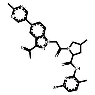 CC(=O)c1nn(CC(=O)N2CC(C)CC2C(=O)Nc2nc(Br)ccc2C)c2ccc(-c3cnc(C)nc3)cc12